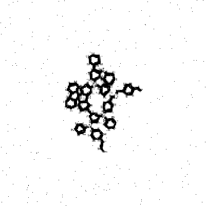 C=Cc1ccc(COCc2ccc(N(c3ccccc3)c3cc(-c4ccc5c(c4)-c4cc(N(c6ccccc6)c6ccc(-c7ccccc7)c7sc8ccccc8c67)ccc4C54c5ccccc5-c5ccccc54)cc(N(c4ccccc4)c4ccc(/C=C/C)cc4)c3)cc2)cc1